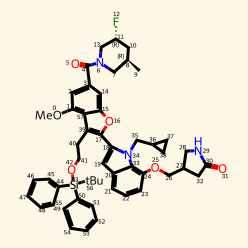 COc1cc(C(=O)N2C[C@H](C)C[C@@H](F)C2)cc2oc(-c3cc4cccc(OCC5CNC(=O)C5)c4n3CC3CC3)c(CCO[Si](c3ccccc3)(c3ccccc3)C(C)(C)C)c12